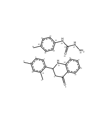 Cc1ccc(C2CC(=O)c3ccccc3N2)c(C)c1.Cc1ccc(NC(=O)NN)cc1